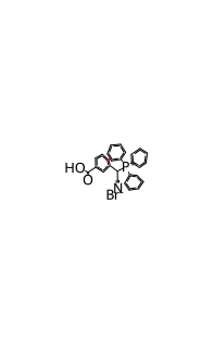 N#CC(c1cccc(C(=O)O)c1)[P+](c1ccccc1)(c1ccccc1)c1ccccc1.[Br-]